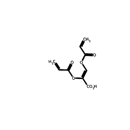 C=CC(=O)OC=C(OC(=O)C=C)C(=O)O